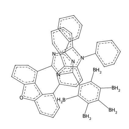 Bc1c(B)c(B)c(-c2nc(-c3ccccc3)nc(-c3cccc4oc5cccc(-c6ccc7c(c6)c6ccccc6n7-c6ccccc6)c5c34)n2)c(B)c1B